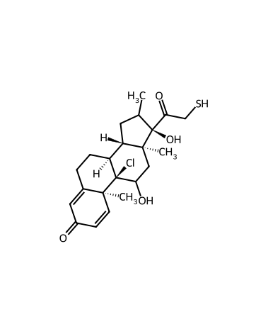 CC1C[C@H]2[C@@H]3CCC4=CC(=O)C=C[C@]4(C)[C@@]3(Cl)C(O)C[C@]2(C)[C@@]1(O)C(=O)CS